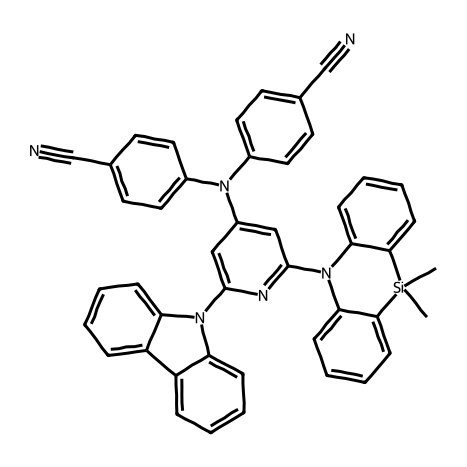 C[Si]1(C)c2ccccc2N(c2cc(N(c3ccc(C#N)cc3)c3ccc(C#N)cc3)cc(-n3c4ccccc4c4ccccc43)n2)c2ccccc21